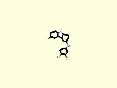 Clc1ccc2[nH]c3ccc(Nc4ccc(Cl)c(Cl)c4)cc3c2c1